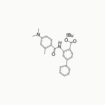 Cc1cc(N(C)C)ccc1C(=O)Nc1cc(-c2ccccc2)ccc1C(=O)OC(C)(C)C